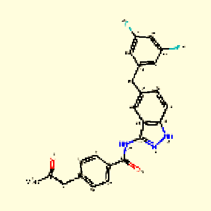 COC(=O)Cc1ccc(C(=O)Nc2n[nH]c3ccc(Cc4cc(F)cc(F)c4)cc23)cc1